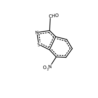 O=Cc1nsc2c([N+](=O)[O-])cccc12